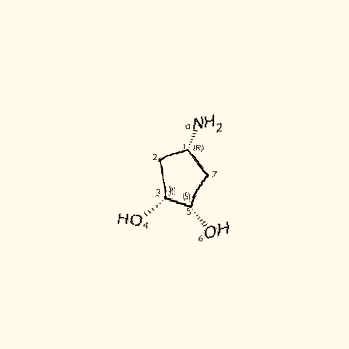 N[C@H]1C[C@@H](O)[C@@H](O)C1